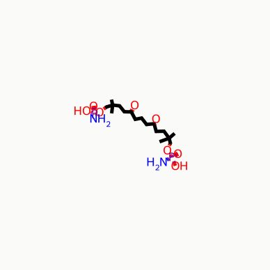 CC(C)(CCC(=O)CCCC(=O)CCC(C)(C)COP(N)(=O)O)COP(N)(=O)O